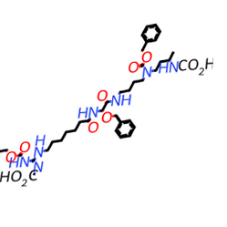 CC(CCN(CCCCNC(=O)C(NC(=O)CCCCCCN/C(=N/C(=O)O)NC(=O)OCc1ccccc1)OCc1ccccc1)C(=O)OCc1ccccc1)NC(=O)O